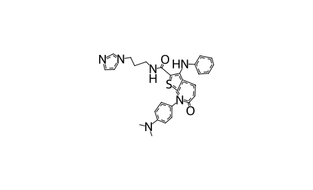 CN(C)c1ccc(-n2c(=O)ccc3c(Nc4ccccc4)c(C(=O)NCCCn4ccnc4)sc32)cc1